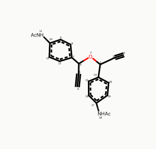 C#CC(OC(C#C)c1ccc(NC(C)=O)cc1)c1ccc(NC(C)=O)cc1